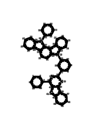 c1ccc(-c2nc(-c3cccc(-n4c5ccccc5c5c4ccc4c6ccccc6n(-c6ccccc6)c45)c3)nc3c2sc2ccccc23)cc1